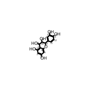 Oc1cc(O)c2c(c1)OC(c1ccc(O)c(O)c1)C(O)C2O